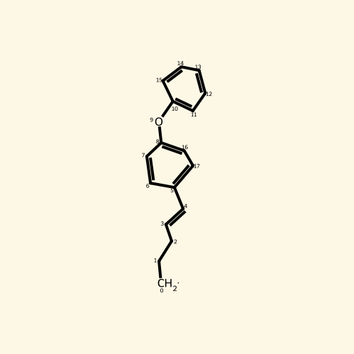 [CH2]CCC=Cc1ccc(Oc2ccccc2)cc1